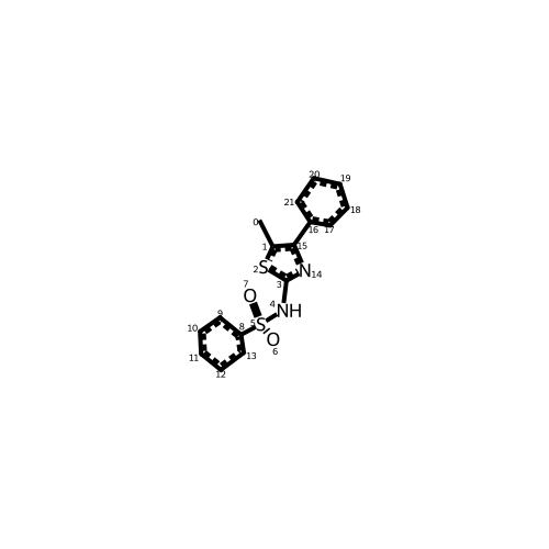 Cc1sc(NS(=O)(=O)c2ccccc2)nc1-c1ccccc1